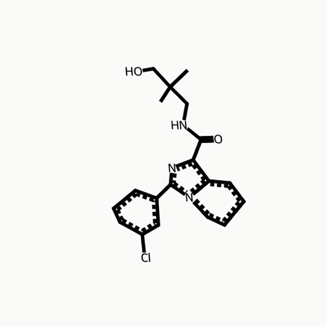 CC(C)(CO)CNC(=O)c1nc(-c2cccc(Cl)c2)n2ccccc12